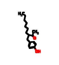 CCCCCCCC(Cc1ccc(O)cc1)C(C)=O